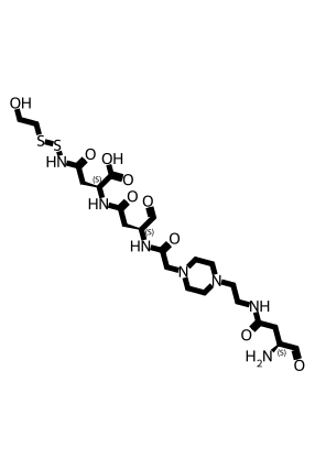 N[C@H](C=O)CC(=O)NCCN1CCN(CC(=O)N[C@H](C=O)CC(=O)N[C@@H](CC(=O)NSSCCO)C(=O)O)CC1